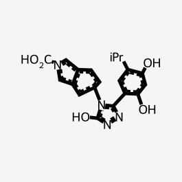 CC(C)c1cc(-c2nnc(O)n2-c2ccc3cn(C(=O)O)cc3c2)c(O)cc1O